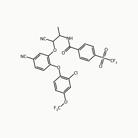 CC(NC(=O)c1ccc(S(=O)(=O)C(F)(F)F)cc1)C(C#N)Oc1cc(C#N)ccc1Oc1ccc(OC(F)(F)F)cc1Cl